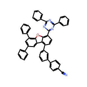 N#Cc1ccc(-c2cccc(-c3ccc(-c4nc(-c5ccccc5)nc(-c5ccccc5)n4)c4oc5c(-c6ccccc6)cc(-c6ccccc6)cc5c34)c2)cc1